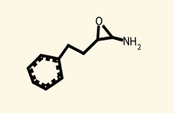 NC1OC1CCc1ccccc1